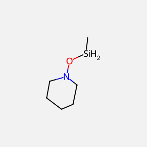 C[SiH2]ON1CCCCC1